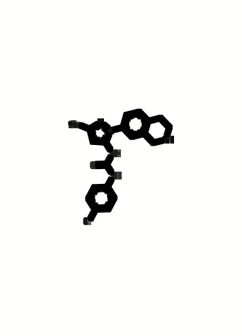 CC(C)(C)c1cc(NC(=O)Nc2ccc(Cl)cc2)n(-c2ccc3c(c2)CNCC3)n1